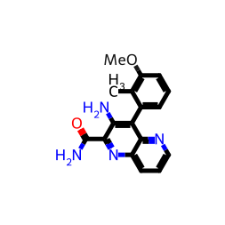 COc1cccc(-c2c(N)c(C(N)=O)nc3cccnc23)c1C